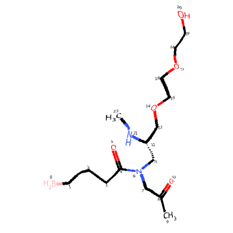 BCCCC(=O)N(CC(C)=O)C[C@@H](COCCOCCO)NC